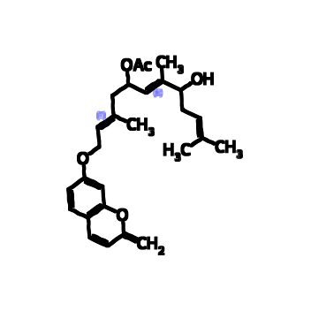 C=C1C=Cc2ccc(OC/C=C(\C)CC(/C=C(\C)C(O)CC=C(C)C)OC(C)=O)cc2O1